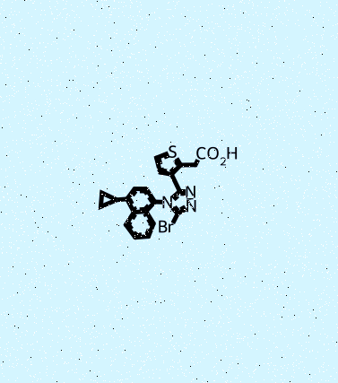 O=C(O)Cc1sccc1-c1nnc(Br)n1-c1ccc(C2CC2)c2ccccc12